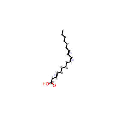 CCCCCC/C=C/C=C\CCCC/C=C/CC(=O)O